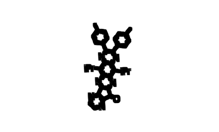 Cc1ccc(-c2nc3c(C(C)C)c4nc5c(nc4c(C(C)C)c3nc2-c2ccc(C)cc2)-c2nccnc2C5=O)cc1